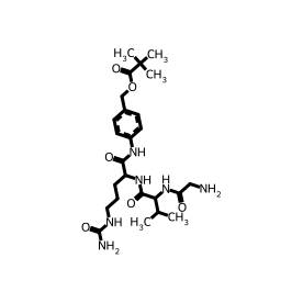 CC(C)C(NC(=O)CN)C(=O)NC(CCCNC(N)=O)C(=O)Nc1ccc(COC(=O)C(C)(C)C)cc1